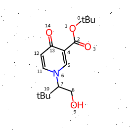 CC(C)(C)OC(=O)c1cn(C(CO)C(C)(C)C)ccc1=O